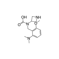 COc1cccc(N(C)C)c1CN(C(=O)O)C1CNC1